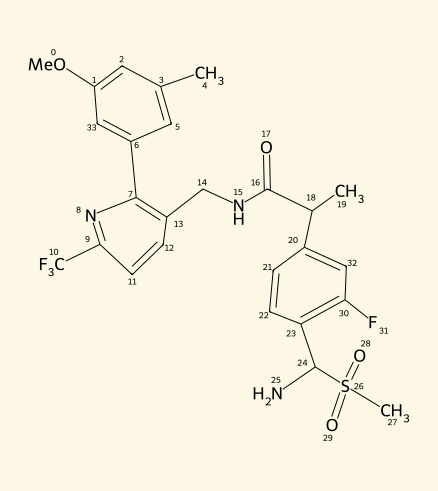 COc1cc(C)cc(-c2nc(C(F)(F)F)ccc2CNC(=O)C(C)c2ccc(C(N)S(C)(=O)=O)c(F)c2)c1